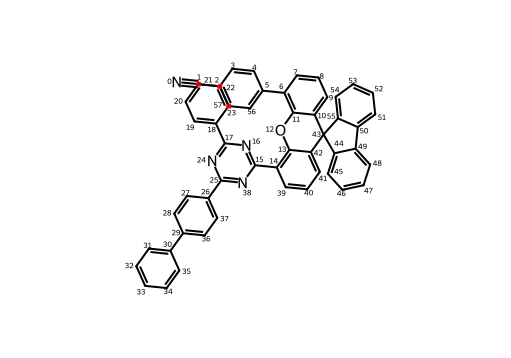 N#Cc1ccc(-c2cccc3c2Oc2c(-c4nc(-c5ccccc5)nc(-c5ccc(-c6ccccc6)cc5)n4)cccc2C32c3ccccc3-c3ccccc32)cc1